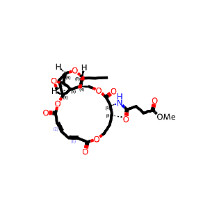 COC(=O)CCC(=O)N[C@H]1C(=O)OC[C@]23CCC(C)=C[C@H]2O[C@@H]2C[C@@H](OC(=O)/C=C\C=C\C(=O)OCC[C@H]1C)[C@@]3(C)[C@]21CO1